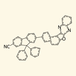 N#Cc1ccc2c(c1)C(c1ccccc1)(c1ccccc1)c1cc(-c3ccc4c(ccc5oc6nc7ccccc7nc6c54)c3)ccc1-2